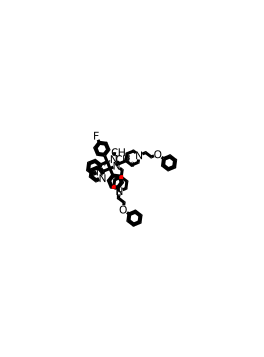 CN(CC1CCN(CCOc2ccccc2)CC1)C(c1ccc(F)cc1)(c1ccccn1)[C@](c1ccc(F)cc1)(c1ccccn1)N(C)CC1CCN(CCOc2ccccc2)CC1